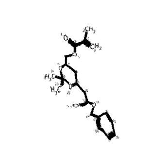 C=C(C)C(=O)OCC1CC(CC(=O)OCc2ccccc2)OC(C)(C)O1